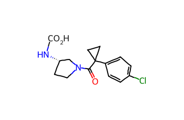 O=C(O)N[C@H]1CCN(C(=O)C2(c3ccc(Cl)cc3)CC2)C1